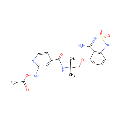 CC(C)(COc1cccc2c1C(N)=NS(=O)(=O)N2)NC(=O)c1ccnc(NOC(=O)C(F)(F)F)c1